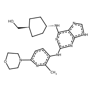 Cc1nc(N2CCOCC2)ccc1Nc1nc(N[C@H]2CC[C@H](CO)CC2)c2nc[nH]c2n1